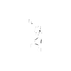 Cc1c(N2CC(C#N)N=N2)ccc(Cl)c1F